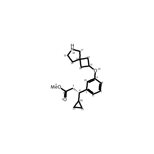 COC(=O)C[C@H](c1cccc(OC2CC3(CCNC3)C2)c1)C1CC1